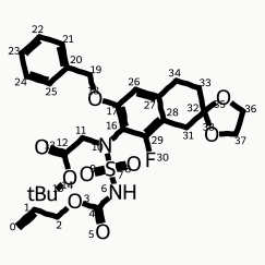 C=CCOC(=O)NS(=O)(=O)N(CC(=O)OC(C)(C)C)c1c(OCc2ccccc2)cc2c(c1F)CC1(CC2)OCCO1